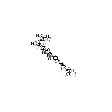 CC(C)(C)OC(=O)NCC12CC(NCc3ccc(-n4ccc(NC(=O)N5CCN(C(=O)C(C)(C)NC(=O)OC(C)(C)C)CC5)nc4=O)cc3)(C1)C2